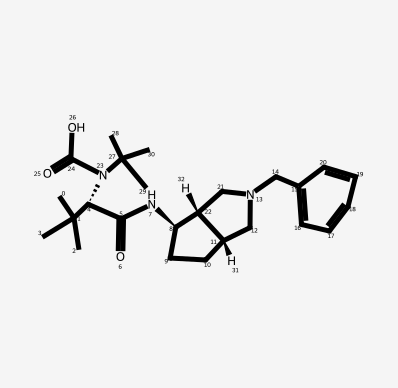 CC(C)(C)[C@@H](C(=O)N[C@@H]1CC[C@H]2CN(Cc3ccccc3)C[C@H]21)N(C(=O)O)C(C)(C)C